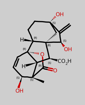 C=C1[C@@H](O)[C@]23C[C@@]1(O)CC[C@H]2[C@@]12C=C[C@H](O)[C@@](C)(C(=O)O1)[C@H]2[C@@H]3C(=O)O